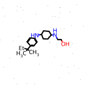 CCC(C)(C)c1ccc(NC2CCC(NCCO)CC2)cc1